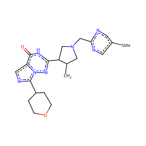 CSc1cnc(CN2CC(C)C(c3nn4c(C5CCOCC5)ncc4c(=O)[nH]3)C2)nc1